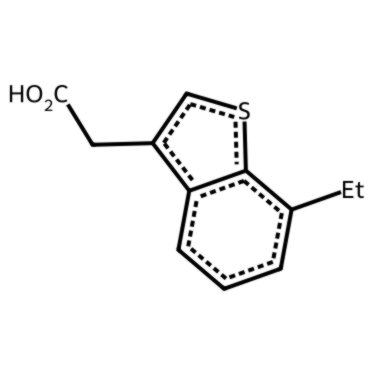 CCc1cccc2c(CC(=O)O)csc12